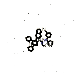 N#Cc1cccc(/C2=N/C(n3c4cc5ccccc5cc4c4c5c6ccccc6n6c7ccccc7c(cc43)c56)=C\CCc3ncccc32)c1